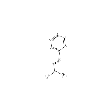 CC(C)C=Cc1cc[c]cc1